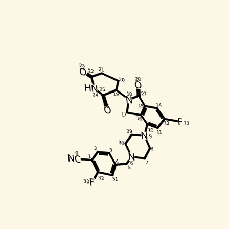 N#Cc1ccc(CN2CCN(c3cc(F)cc4c3CN(C3CCC(=O)NC3=O)C4=O)CC2)cc1F